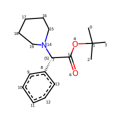 CC(C)(C)OC(=O)[C@H](c1ccccc1)N1CCCCC1